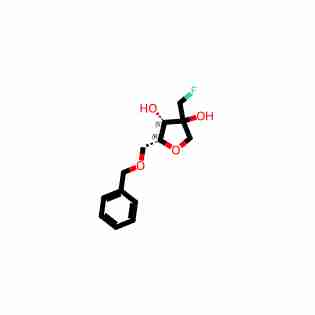 O[C@H]1[C@@H](COCc2ccccc2)OCC1(O)CF